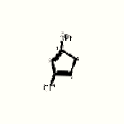 CCCC1=CC(Cl)=CC1